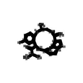 C=C1NC[C@H](C)Oc2ccc(F)cc2C(C(=O)N(C)C)Nc2ccn3ncc1c3n2